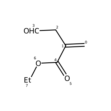 C=C(CC=O)C(=O)OCC